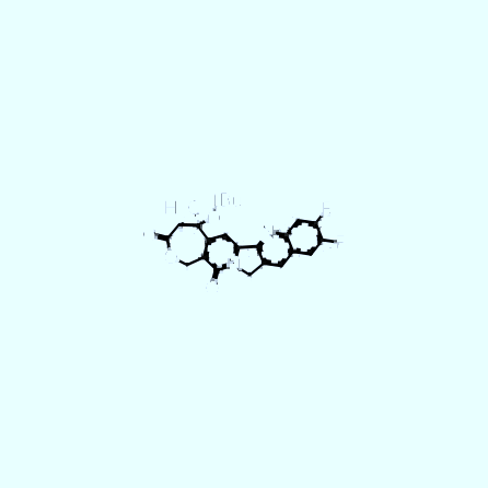 CC(C)(C)O[C@]1(C)CC(=O)OCc2c1cc1n(c2=O)Cc2cc3cc(F)c(F)cc3nc2-1